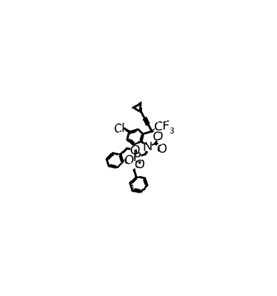 O=C1O[C@](C#CC2CC2)(C(F)(F)F)c2cc(Cl)ccc2N1CP(=O)(OCc1ccccc1)OCc1ccccc1